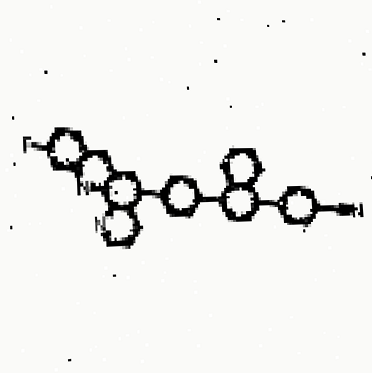 N#Cc1ccc(-c2ccc(-c3ccc(-c4cc5cc6ccc(F)cc6nc5c5ncccc45)cc3)c3ccccc23)cc1